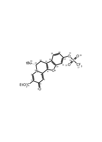 CCOC(=O)c1cn2c(cc1=O)-c1oc3cc(OS(=O)(=O)C(F)(F)F)ccc3c1C[C@H]2C(C)(C)C